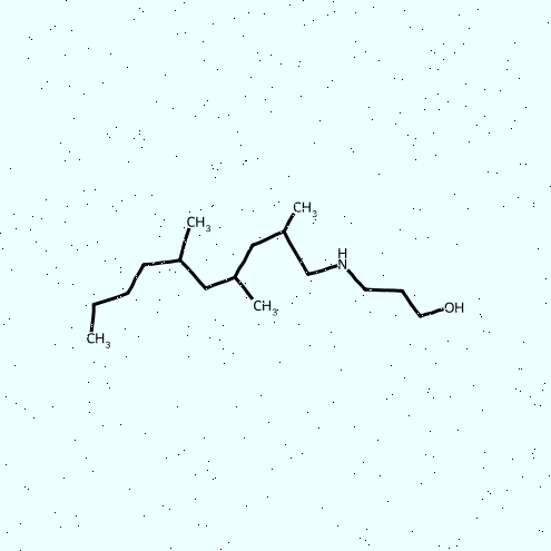 CCCCC(C)CC(C)CC(C)CNCCCO